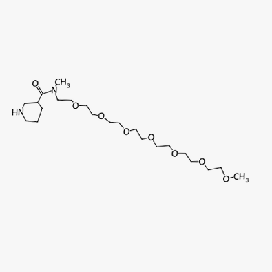 COCCOCCOCCOCCOCCOCCOCCN(C)C(=O)C1CCCNC1